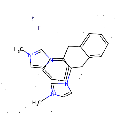 C[n+]1ccn(C2C3c4ccccc4C(c4ccccc43)C2n2cc[n+](C)c2)c1.[I-].[I-]